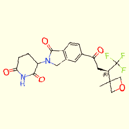 CC1([C@@H](CC(=O)c2ccc3c(c2)CN(C2CCC(=O)NC2=O)C3=O)C(F)(F)F)COC1